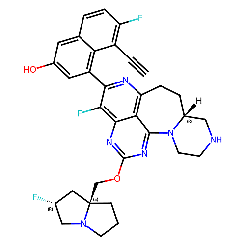 C#Cc1c(F)ccc2cc(O)cc(-c3nc4c5c(nc(OC[C@@]67CCCN6C[C@H](F)C7)nc5c3F)N3CCNC[C@H]3CC4)c12